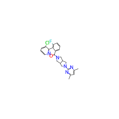 Cc1cc(C)nc(N2CC3CN(C(=O)c4cccc(F)c4-c4ncccc4Cl)CC3C2)n1